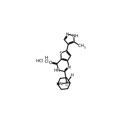 Cc1[nH]ncc1-c1cc2nc([C@H]3NC4CCC3CC4)[nH]c(=O)c2s1.Cl.Cl